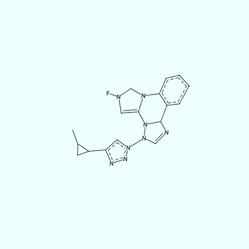 CC1CC1c1cn(N2C=NC3c4ccccc4N4CN(F)C=C4N32)nn1